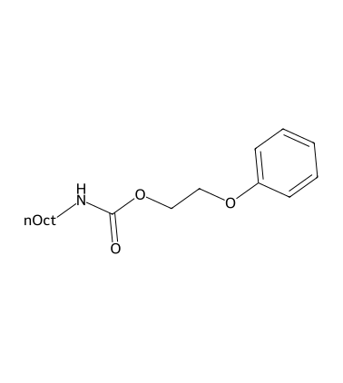 CCCCCCCCNC(=O)OCCOc1ccccc1